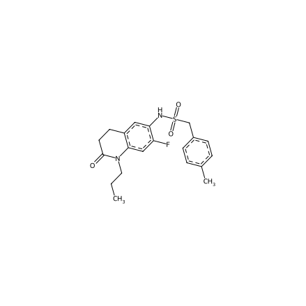 CCCN1C(=O)CCc2cc(NS(=O)(=O)Cc3ccc(C)cc3)c(F)cc21